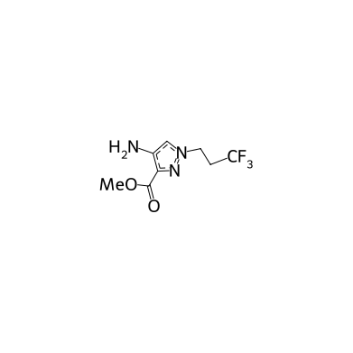 COC(=O)c1nn(CCC(F)(F)F)cc1N